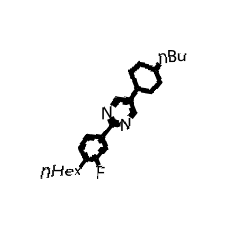 CCCCCCc1ccc(-c2ncc(C3CCC(CCCC)CC3)cn2)cc1F